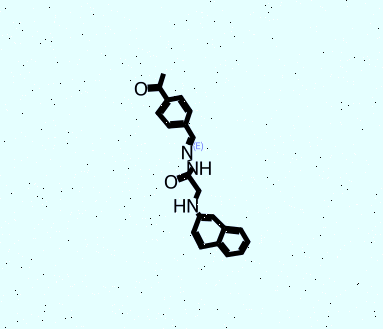 CC(=O)c1ccc(/C=N/NC(=O)CNc2ccc3ccccc3c2)cc1